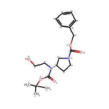 CC(C)(C)OC(=O)N(CCO)[C@H]1CCN(C(=O)OCc2ccccc2)C1